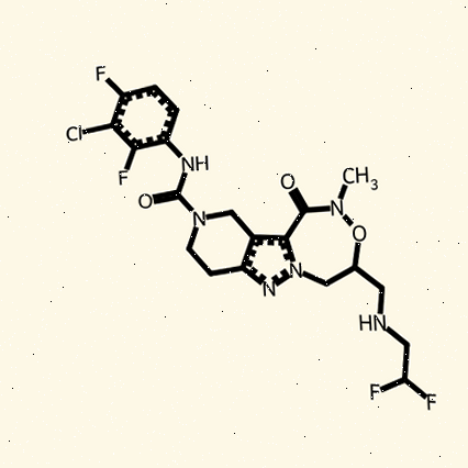 CN1OC(CNCC(F)F)Cn2nc3c(c2C1=O)CN(C(=O)Nc1ccc(F)c(Cl)c1F)CC3